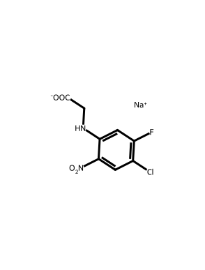 O=C([O-])CNc1cc(F)c(Cl)cc1[N+](=O)[O-].[Na+]